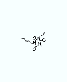 C=CCn1c(=O)n(C)c(=O)n(C/C=C/CC)c1=O